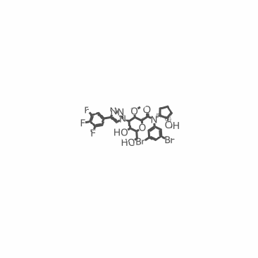 COC1C(C(=O)N(c2cc(Br)cc(Br)c2)[C@@H]2CCC[C@H]2O)OC(CO)C(O)C1n1cc(-c2cc(F)c(F)c(F)c2)nn1